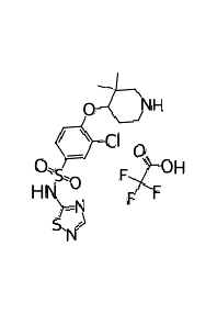 CC1(C)CNCCC1Oc1ccc(S(=O)(=O)Nc2ncns2)cc1Cl.O=C(O)C(F)(F)F